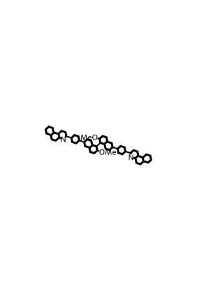 COc1ccc2cc(-c3ccc(-c4ccc5c(ccc6ccccc65)n4)cc3)ccc2c1-c1c(OC)ccc2cc(-c3ccc(-c4ccc5c(ccc6ccccc65)n4)cc3)ccc12